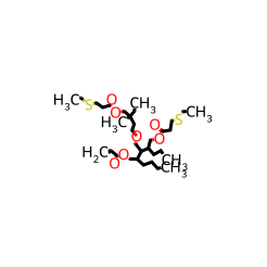 C=CC(=O)OCC(CCCC)C(COCCC(C)(CC)COC(=O)CCSCC)C(CCC)COC(=O)CCSCC